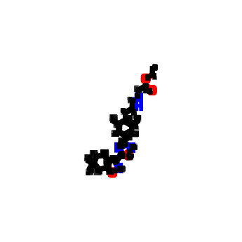 CCOC(=O)CNCCCc1c(C)cc(-c2noc(-c3noc4c3CCC(C)(C)C4)n2)cc1C